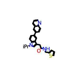 CC(C)n1cc(CC(=O)NCc2cccs2)c2cc(-c3ccc4ncccc4c3)ccc21